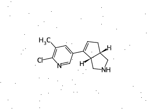 Cc1cc(C2=CC[C@@H]3CNC[C@H]23)cnc1Cl